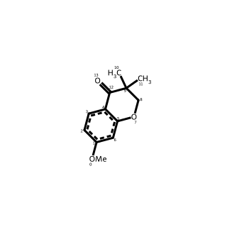 COc1ccc2c(c1)OCC(C)(C)C2=O